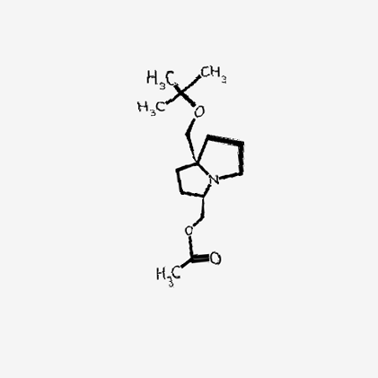 CC(=O)OC[C@H]1CC[C@]2(COC(C)(C)C)CCCN12